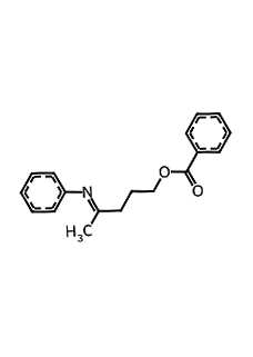 CC(CCCOC(=O)c1ccccc1)=Nc1ccccc1